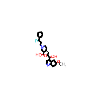 COc1ccc2nccc(C(O)CC[C@@H]3CCN(CCC(F)c4ccccc4)C[C@@H]3C(=O)O)c2c1